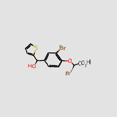 O=C(O)C(Br)Oc1ccc(C(O)c2cccs2)cc1Br